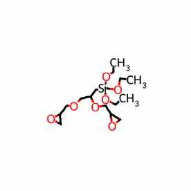 CCO[Si](CC(COCC1CO1)OCC1CO1)(OCC)OCC